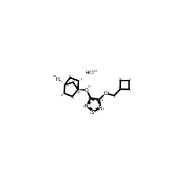 C1CC(COc2nsnc2O[C@]23CC[C@@H](CC2)C3)C1.Cl